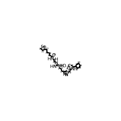 N=C(NCCCc1cn(CC(=O)N[C@@H](CC(=O)O)c2ccccc2)nn1)NCCNC(=O)CCCCC1CCSS1